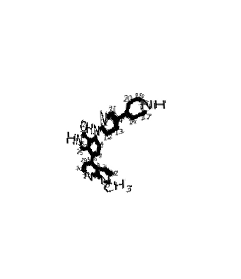 Cn1ccc2c(-c3ccc(Nc4ccc(C5CCNCC5)cn4)c4c3CNC4=O)ccnc21